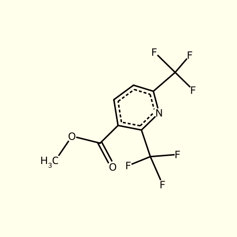 COC(=O)c1ccc(C(F)(F)F)nc1C(F)(F)F